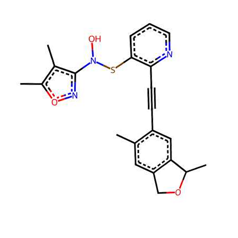 Cc1cc2c(cc1C#Cc1ncccc1SN(O)c1noc(C)c1C)C(C)OC2